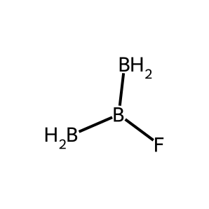 BB(B)F